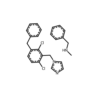 CNCc1ccccc1.Clc1ccc(Cc2ccccc2)c(Cl)c1Cn1ccnc1